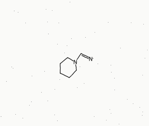 [N]=CN1CCCCC1